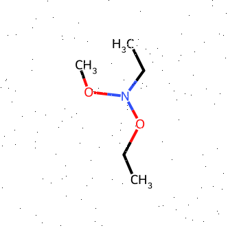 CCON(CC)OC